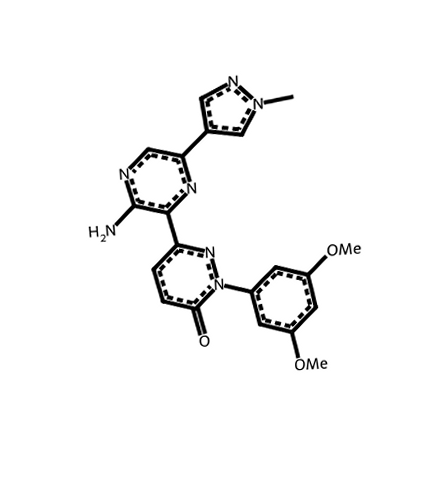 COc1cc(OC)cc(-n2nc(-c3nc(-c4cnn(C)c4)cnc3N)ccc2=O)c1